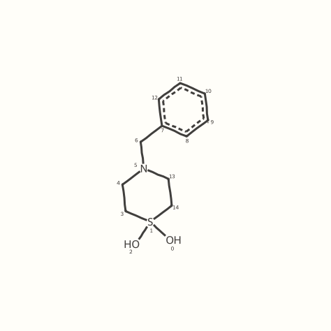 OS1(O)CCN(Cc2c[c]ccc2)CC1